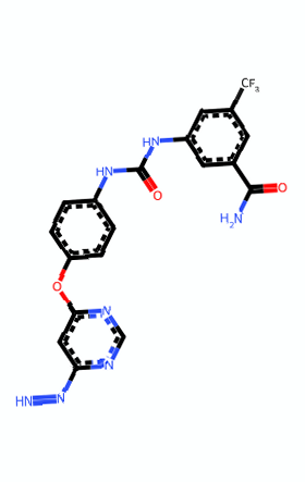 N=Nc1cc(Oc2ccc(NC(=O)Nc3cc(C(N)=O)cc(C(F)(F)F)c3)cc2)ncn1